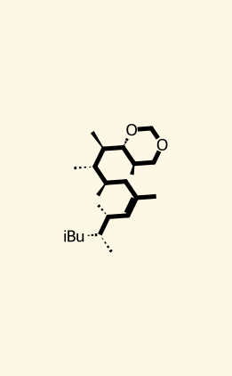 CC[C@@H](C)[C@@H](C)[C@H](C)/C=C(/C)C[C@@H](C)[C@H](C)[C@@H](C)[C@@H]1OCOC[C@H]1C